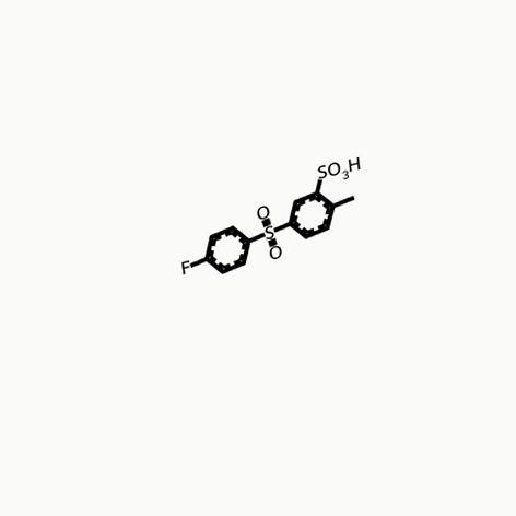 Cc1ccc(S(=O)(=O)c2ccc(F)cc2)cc1S(=O)(=O)O